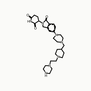 O=C1CCC(N2Cc3cc(N4CCN(CC5CCN(CCN6CCNCC6)CC5)CC4)ccc3C2=O)C(=O)N1